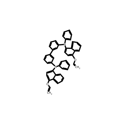 C=COc1ccc(N(c2ccccc2)c2cccc(-c3cccc(N(c4ccccc4)c4ccc(OC=C)c5ccccc45)c3)c2)c2ccccc12